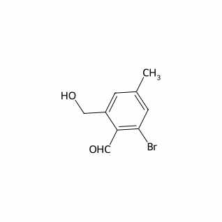 Cc1cc(Br)c(C=O)c(CO)c1